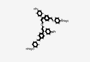 CCCCCCC[C@H]1CC[C@H](CCc2ccc(C(=CCOCC=C(c3ccc(CC[C@H]4CC[C@H](CCCCCCC)CC4)cc3)[C@H]3CC[C@H](CCC)CC3)[C@H]3CC[C@H](CCC)CC3)cc2)CC1